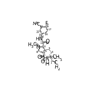 C=C[C@]1(C)CCc2c(cn(C)c2C(=O)Nc2ccc(F)c(C#N)c2)S(=O)(=O)N1